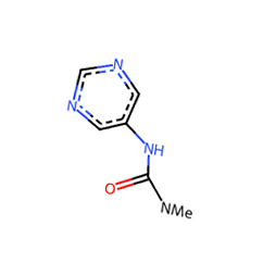 CNC(=O)Nc1cncnc1